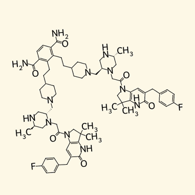 C[C@@H]1CN(CC(=O)N2CC(C)(C)c3[nH]c(=O)c(Cc4ccc(F)cc4)cc32)[C@@H](CN2CCC(CCc3c(C(N)=O)ccc(C(N)=O)c3CCC3CCN(C[C@H]4CN[C@H](C)CN4CC(=O)N4CC(C)(C)c5[nH]c(=O)c(Cc6ccc(F)cc6)cc54)CC3)CC2)CN1